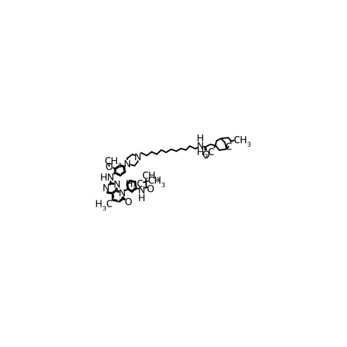 COc1cc(N2CCN(CCCCCCCCCCCCNC(=O)CC3(C)CC4CC(C)CC(C4)C3)CC2)ccc1Nc1ncc2c(C)cc(=O)n(-c3cccc(NC(=O)C(C)(C)C)c3)c2n1